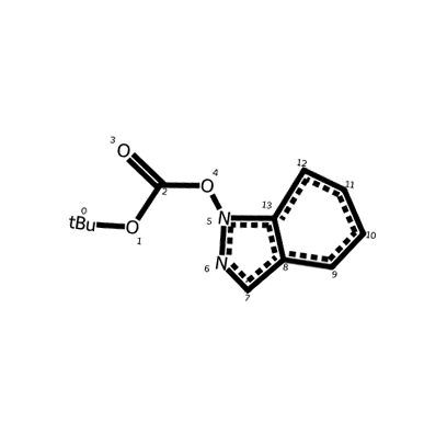 CC(C)(C)OC(=O)On1ncc2ccccc21